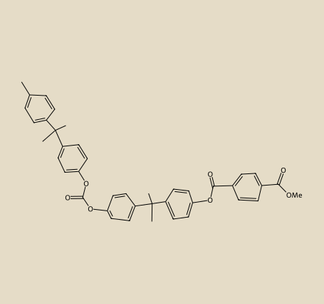 COC(=O)c1ccc(C(=O)Oc2ccc(C(C)(C)c3ccc(OC(=O)Oc4ccc(C(C)(C)c5ccc(C)cc5)cc4)cc3)cc2)cc1